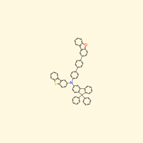 c1ccc(C2(c3ccccc3)c3ccccc3-c3cc(N(c4ccc(-c5ccc(-c6ccc7oc8ccccc8c7c6)cc5)cc4)c4ccc5sc6ccccc6c5c4)ccc32)cc1